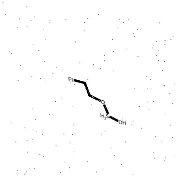 CCCCO[SiH2]O